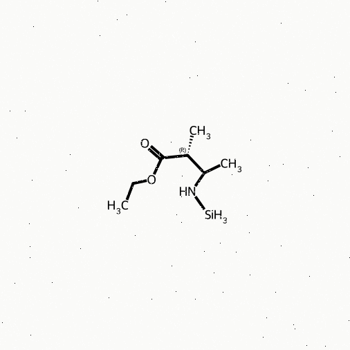 CCOC(=O)[C@H](C)C(C)N[SiH3]